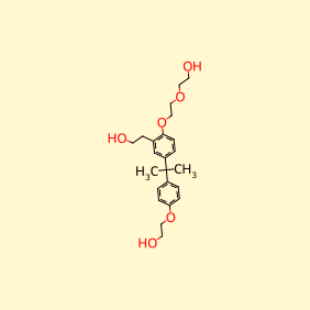 CC(C)(c1ccc(OCCO)cc1)c1ccc(OCCOCCO)c(CCO)c1